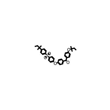 CCC(C)(C)Oc1ccc(C(=O)c2ccc(Oc3ccc(S(=O)(=O)c4ccc(C(C)(C)CC)cc4)cc3)cc2)cc1